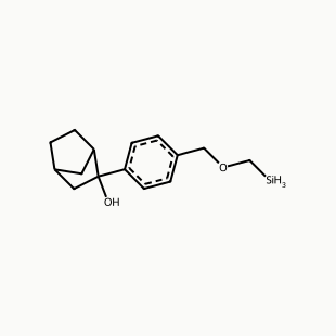 OC1(c2ccc(COC[SiH3])cc2)CC2CCC1C2